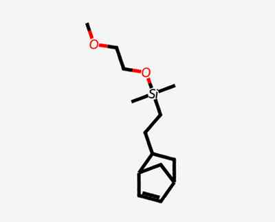 COCCO[Si](C)(C)CCC1CC2C=CC1C2